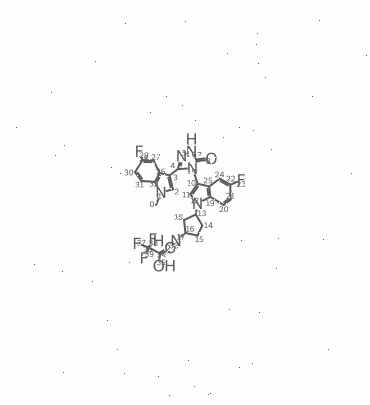 Cn1cc(-c2n[nH]c(=O)n2-c2cn([C@H]3CC[C@@H](N)C3)c3ccc(F)cc23)c2cc(F)ccc21.O=C(O)C(F)(F)F